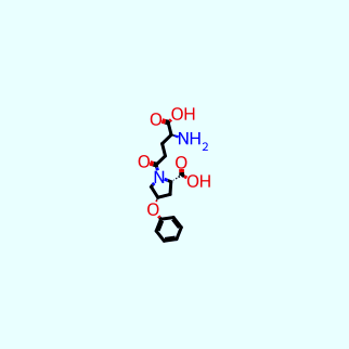 N[C@@H](CCC(=O)N1C[C@@H](Oc2ccccc2)C[C@H]1C(=O)O)C(=O)O